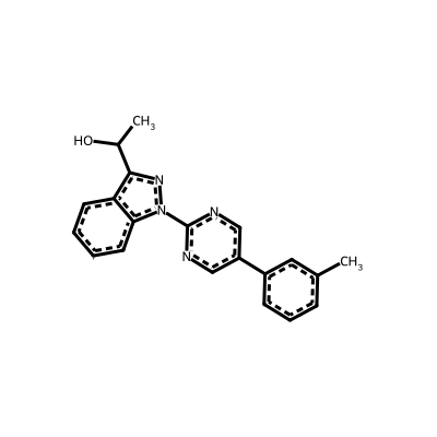 Cc1cccc(-c2cnc(-n3nc(C(C)O)c4cc[c]cc43)nc2)c1